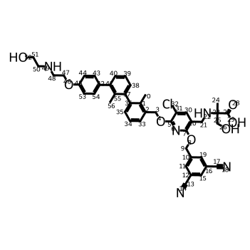 Cc1c(COc2nc(OCc3cc(C#N)cc(C#N)c3)c(CNC(C)(CO)C(=O)O)cc2Cl)cccc1-c1cccc(-c2ccc(OCCNCCO)cc2)c1C